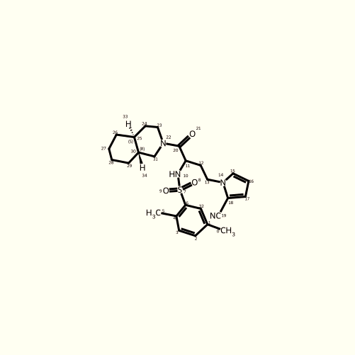 Cc1ccc(C)c(S(=O)(=O)NC(CCn2cccc2C#N)C(=O)N2CC[C@@H]3CCCC[C@H]3C2)c1